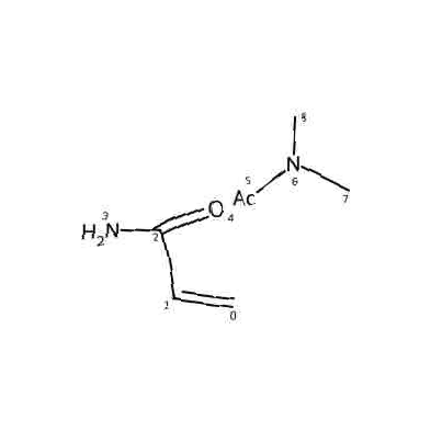 C=CC(N)=O.CC(=O)N(C)C